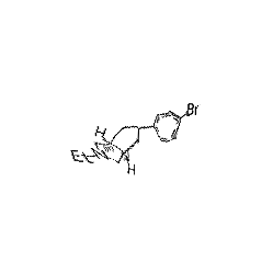 CCN1C[C@H]2CC(c3ccc(Br)cc3)C[C@H]2C1